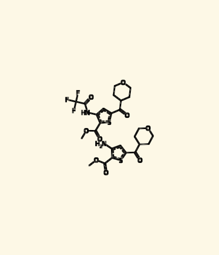 COC(=O)c1sc(C(=O)C2CCOCC2)cc1N.COC(=O)c1sc(C(=O)C2CCOCC2)cc1NC(=O)C(F)(F)F